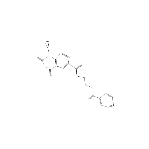 O=C(NCCNC(=O)c1cnc2c(c1)c(=O)[nH]c(=O)n2C1CC1)c1ccccc1